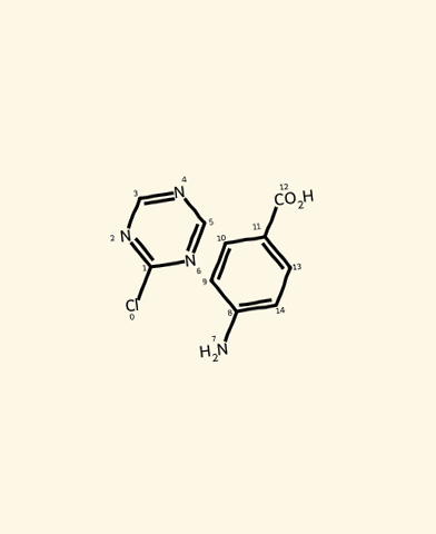 Clc1ncncn1.Nc1ccc(C(=O)O)cc1